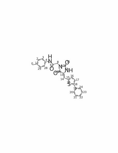 Cc1ccc(NC(=O)CN2C(=O)N/C(=C\c3ccc(-c4ccccc4)s3)C2=O)cc1